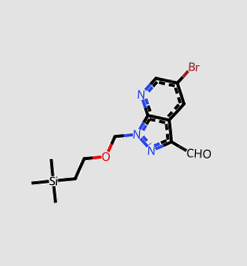 C[Si](C)(C)CCOCn1nc(C=O)c2cc(Br)cnc21